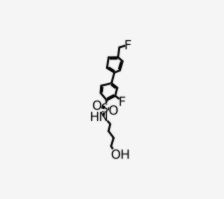 O=S(=O)(NCCCCO)c1ccc(-c2ccc(CF)cc2)cc1F